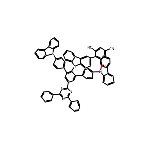 N#Cc1cc(C#N)c(-c2ccc3c(c2)c2ccccc2n3-c2c(-c3ccc(-n4c5ccccc5c5ccccc54)cc3)cc(-c3nc(-c4ccccc4)nc(-c4ccccc4)n3)cc2-c2ccc(-n3c4ccccc4c4ccccc43)cc2)c(C#N)c1